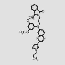 CCCn1cc(-c2cnc3ccc(N(CCCN4C(=O)c5ccccc5C4=O)c4cc(OC)cc(OC)c4)cc3n2)cn1